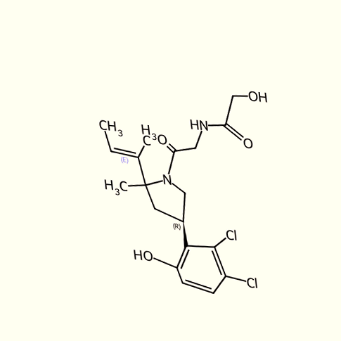 C/C=C(\C)C1(C)C[C@H](c2c(O)ccc(Cl)c2Cl)CN1C(=O)CNC(=O)CO